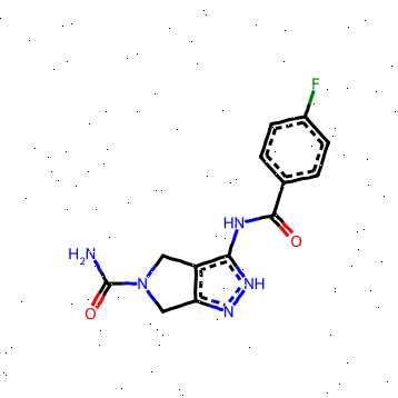 NC(=O)N1Cc2n[nH]c(NC(=O)c3ccc(F)cc3)c2C1